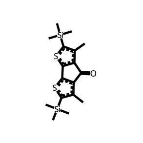 Cc1c([Si](C)(C)C)sc2c1C(=O)c1c-2sc([Si](C)(C)C)c1C